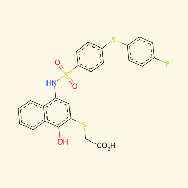 O=C(O)CSc1cc(NS(=O)(=O)c2ccc(Sc3ccc(F)cc3)cc2)c2ccccc2c1O